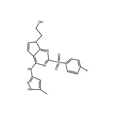 Cc1cc(Nc2nc(S(=O)(=O)c3ccc(F)cc3)nc3c2ccn3CCO)n[nH]1